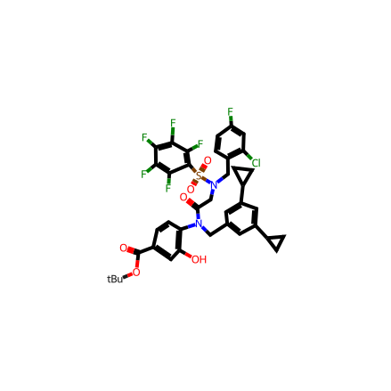 CC(C)(C)OC(=O)c1ccc(N(Cc2cc(C3CC3)cc(C3CC3)c2)C(=O)CN(Cc2ccc(F)cc2Cl)S(=O)(=O)c2c(F)c(F)c(F)c(F)c2F)c(O)c1